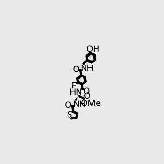 COC(=O)[C@H](CNC(=O)C1=CCCS1)NC(=O)c1ccc(C(=O)NCc2cccc(O)c2)cc1F